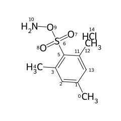 Cc1cc(C)c(S(=O)(=O)ON)c(C)c1.Cl